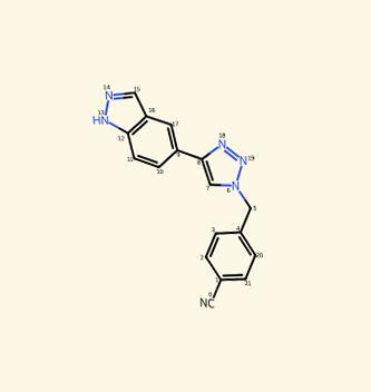 N#Cc1ccc(Cn2cc(-c3ccc4[nH]ncc4c3)nn2)cc1